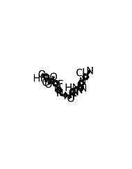 N#Cc1ccc(N2CCc3c(ncnc3Nc3ccc(C(=O)N4CC(CN5CCN(c6cc7c(cc6F)C(=O)N(C6CCC(=O)NC6=O)C7=O)CC5)C4)c(F)n3)C2)cc1Cl